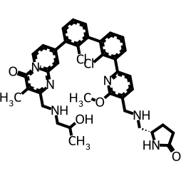 COc1nc(-c2cccc(-c3cccc(-c4ccn5c(=O)c(C)c(CNCC(C)O)nc5c4)c3Cl)c2Cl)ccc1CNC[C@@H]1CCC(=O)N1